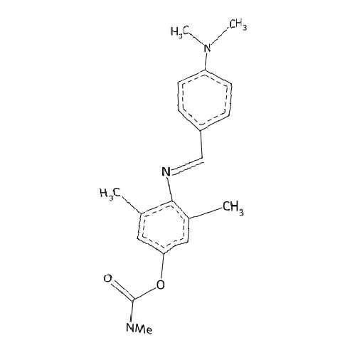 CNC(=O)Oc1cc(C)c(/N=C/c2ccc(N(C)C)cc2)c(C)c1